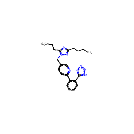 CCCCc1nc(CCC)n(Cc2ccc(-c3ccccc3-c3nnn[nH]3)nc2)n1